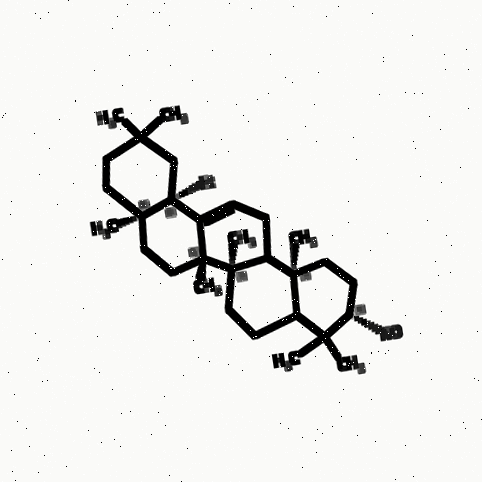 CC[C@@]12CC(C)(C)CC[C@]1(C)CC[C@]1(C)C2=CCC2[C@@]3(C)CC[C@H](N=O)C(C)(C)C3CC[C@]21C